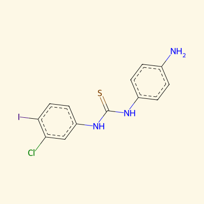 Nc1ccc(NC(=S)Nc2ccc(I)c(Cl)c2)cc1